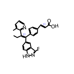 CC/C(=C(/c1ccc(/C=C/C(=O)O)cc1)c1ccc2[nH]nc(F)c2c1)c1ncccc1C